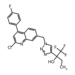 CCC(O)(c1cn(Cc2ccc3c(-c4ccc(F)cc4)cc(Cl)nc3c2)nn1)C(F)(F)F